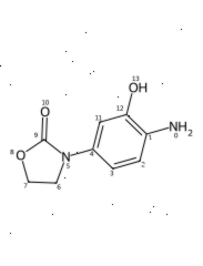 Nc1ccc(N2CCOC2=O)cc1O